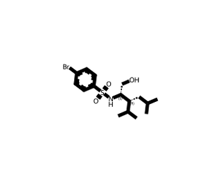 CC(C)C[C@H](C(C)C)[C@@H](CO)NS(=O)(=O)c1ccc(Br)cc1